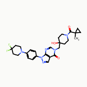 CC1(C(=O)N2CCC(O)(Cn3cnc4c(cnn4-c4ccc(N5CCC(F)(F)CC5)cc4)c3=O)CC2)CC1